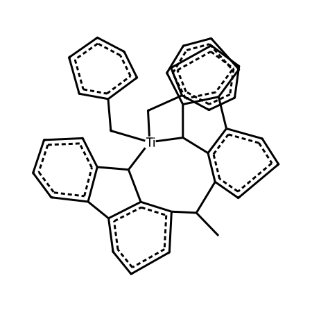 CC1c2cccc3c2[CH](c2ccccc2-3)[Ti]([CH2]c2ccccc2)([CH2]c2ccccc2)[CH]2c3ccccc3-c3cccc1c32